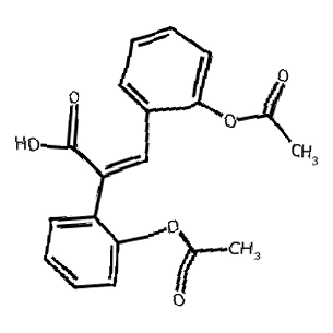 CC(=O)Oc1ccccc1C=C(C(=O)O)c1ccccc1OC(C)=O